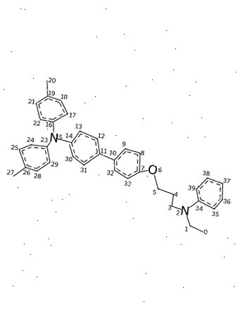 CCN(CCCOc1ccc(-c2ccc(N(c3ccc(C)cc3)c3ccc(C)cc3)cc2)cc1)c1ccccc1